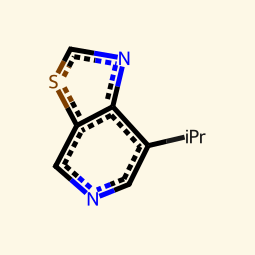 CC(C)c1cncc2scnc12